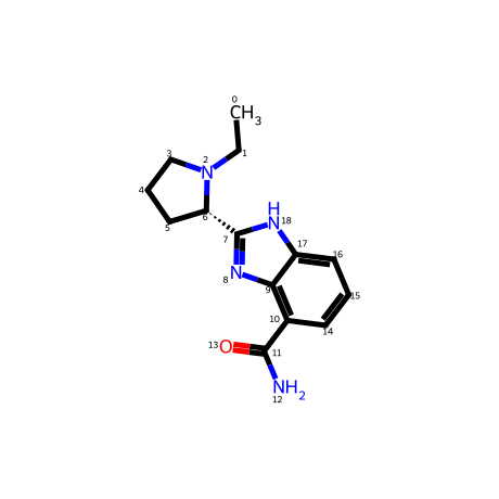 CCN1CCC[C@H]1c1nc2c(C(N)=O)cccc2[nH]1